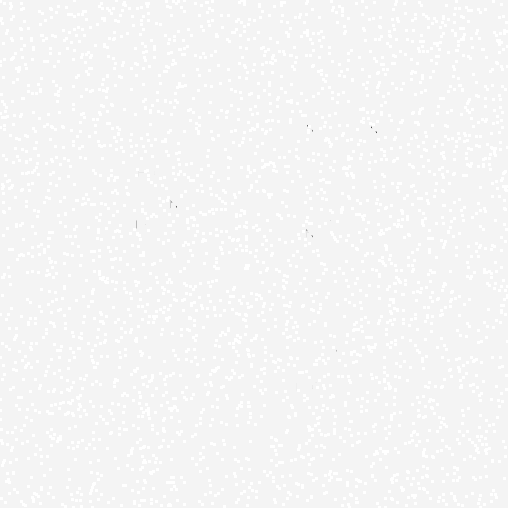 COc1ccc2c(CCN(C)C)cn(C(=O)c3cncnc3)c2c1